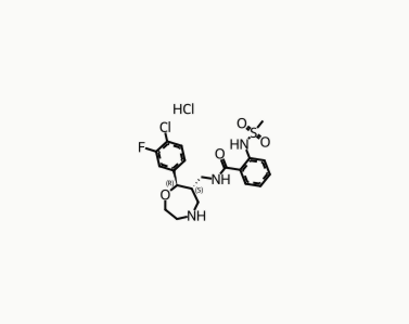 CS(=O)(=O)Nc1ccccc1C(=O)NC[C@@H]1CNCCO[C@H]1c1ccc(Cl)c(F)c1.Cl